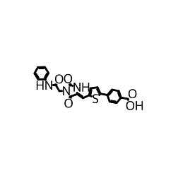 O=C(CN1C(=O)N/C(=C\c2ccc(-c3ccc(C(=O)O)cc3)s2)C1=O)Nc1ccccc1